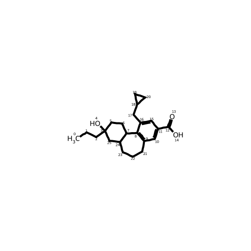 CCCC1(O)CCC2c3c(cc(C(=O)O)cc3CC3CC3)CCCC2C1